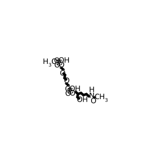 COP(=O)(O)OCCOCCOCCOP(=O)(O)OCC(CO)CCCCNC(C)=O